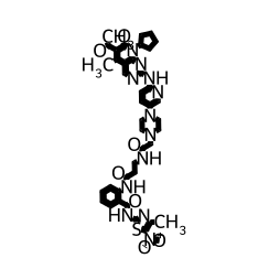 CC(=O)c1c(C)c2cnc(Nc3ccc(N4CCN(CC(=O)NCCC(=O)Nc5ccccc5C(=O)Nc5nc(C)c([N+](=O)[O-])s5)CC4)cn3)nc2n(C2CCCC2)c1=O